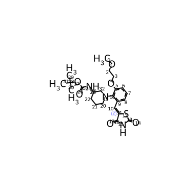 COCCOc1cccc(/C=C2\SC(=O)NC2=O)c1N1CCC[C@@H](NC(=O)OC(C)(C)C)C1